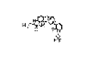 Cc1nc2ccc(CN3CCN(C4=C(F)N(C5CC(F)(F)C5)CC=C4)CC3)c(F)c2[nH]c1=O